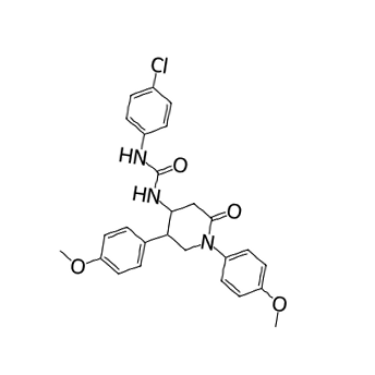 COc1ccc(C2CN(c3ccc(OC)cc3)C(=O)CC2NC(=O)Nc2ccc(Cl)cc2)cc1